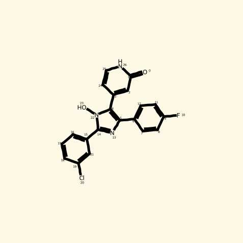 O=c1cc(-c2c(-c3ccc(F)cc3)nc(-c3cccc(Cl)c3)n2O)cc[nH]1